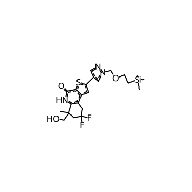 CC1(CO)CC(F)(F)Cc2c1[nH]c(=O)c1sc(-c3cnn(COCC[Si](C)(C)C)c3)cc21